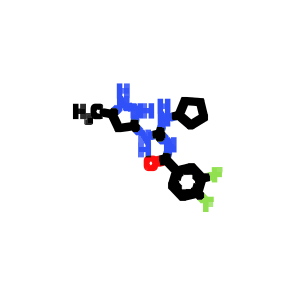 CC1CC(N/C(=N\C(=O)c2ccc(F)c(F)c2)NC2CCCC2)NN1